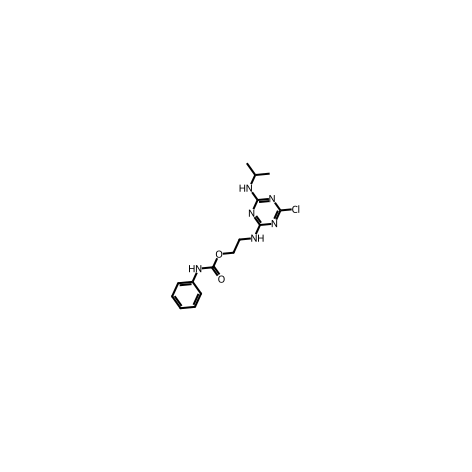 CC(C)Nc1nc(Cl)nc(NCCOC(=O)Nc2ccccc2)n1